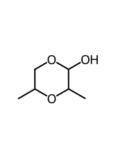 CC1COC(O)C(C)O1